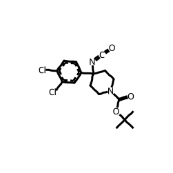 CC(C)(C)OC(=O)N1CCC(N=C=O)(c2ccc(Cl)c(Cl)c2)CC1